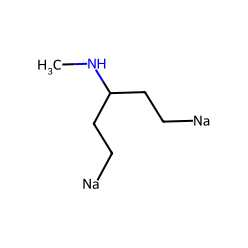 CNC(C[CH2][Na])C[CH2][Na]